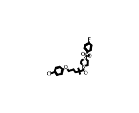 CC(C)(CCCOc1ccc(Cl)cc1)C(=O)N1CCN(S(=O)(=O)c2ccc(F)cc2)CC1